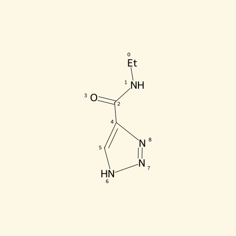 CCNC(=O)c1c[nH]nn1